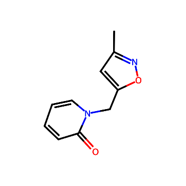 Cc1cc(Cn2ccccc2=O)on1